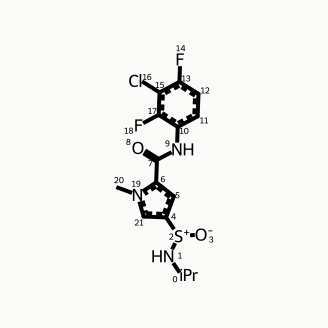 CC(C)N[S+]([O-])c1cc(C(=O)Nc2ccc(F)c(Cl)c2F)n(C)c1